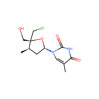 Cc1cn([C@H]2C[C@@H](C)[C@](CO)(CCl)O2)c(=O)[nH]c1=O